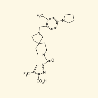 O=C(O)c1nn(C(=O)N2CCC3(CCN(Cc4ccc(N5CCCC5)cc4C(F)(F)F)C3)CC2)cc1C(F)(F)F